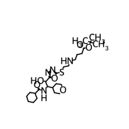 CC(C)(C)OC(=O)CCCNCCSc1nnc(C(O)C(NC(=O)C2CCCCC2)C2CCOCC2)o1